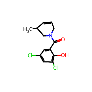 CC1C=CCN(C(=O)c2cc(Cl)cc(Cl)c2O)C1